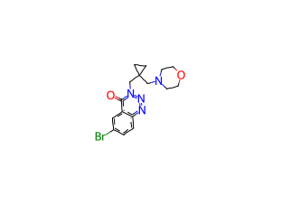 O=c1c2cc(Br)ccc2nnn1CC1(CN2CCOCC2)CC1